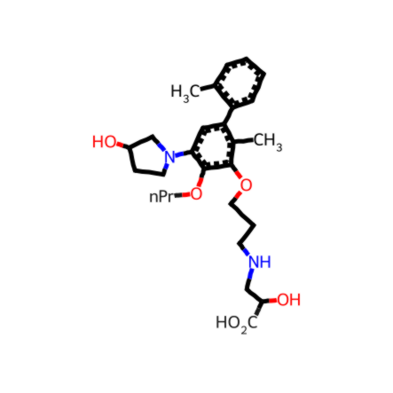 CCCOc1c(N2CCC(O)C2)cc(-c2ccccc2C)c(C)c1OCCCNCC(O)C(=O)O